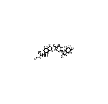 CCCC(=O)Nc1ccc2c(c1)C[C@@H](CN1CCC(n3c(C)nc4cc(C)ccc43)CC1)C2